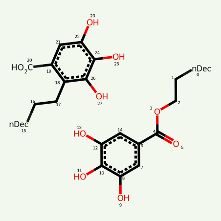 CCCCCCCCCCCCOC(=O)c1cc(O)c(O)c(O)c1.CCCCCCCCCCCCc1c(C(=O)O)cc(O)c(O)c1O